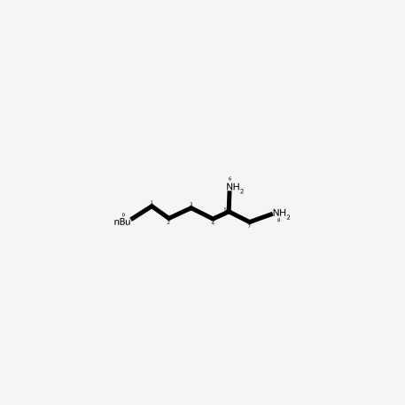 CCCCCCCCC(N)CN